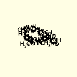 CNC(=O)COc1cc2cc(Nc3nc(N4CCC(CC5CCN(c6cccc7c(C8CCC(=O)NC8=O)nn(C)c67)CC5)CC4)ncc3Cl)ccc2n(C)c1=O